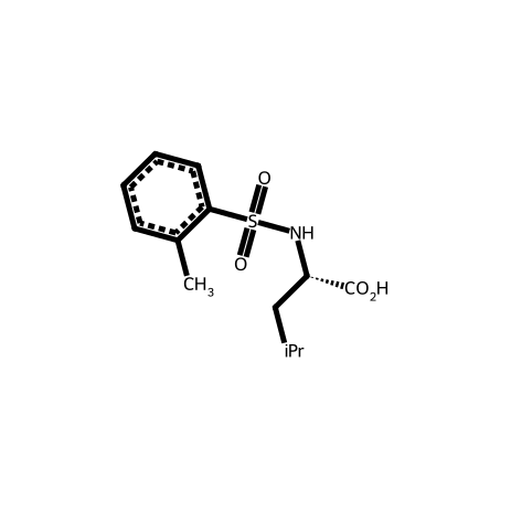 Cc1ccccc1S(=O)(=O)N[C@@H](CC(C)C)C(=O)O